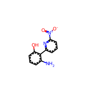 Nc1cccc(O)c1-c1cccc([N+](=O)[O-])n1